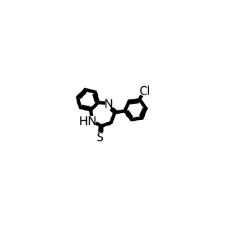 S=C1CC(c2cccc(Cl)c2)=Nc2ccccc2N1